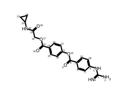 N=C(N)Nc1ccc(C(=O)Oc2ccc(C(=O)OCC(=O)NC3CC3)cc2)cc1